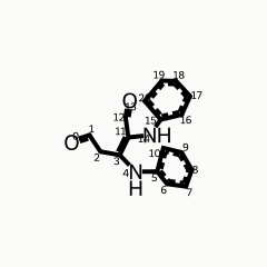 O=CCC(Nc1ccccc1)=C(C=O)Nc1ccccc1